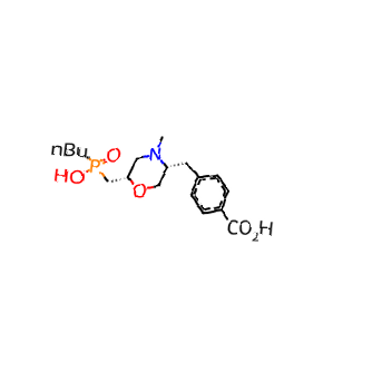 CCCCP(=O)(O)C[C@@H]1CN(C)[C@H](Cc2ccc(C(=O)O)cc2)CO1